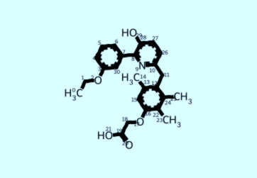 CCOc1cccc(-c2nc(Cc3c(C)cc(OCC(=O)O)c(C)c3C)ccc2O)c1